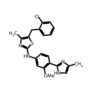 COc1cc(Nc2nc(C)c(Cc3ccccc3Cl)s2)ccc1-c1nc(C)c[nH]1